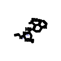 C=CC/C(=N\C(=N/C=C)NC)Nc1ccc2nccnc2c1N(C)SC